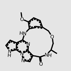 COc1ccc2cc1Nc1nc3c(cnn3c3[nH]ccc13)C(=O)NC(C)COC2